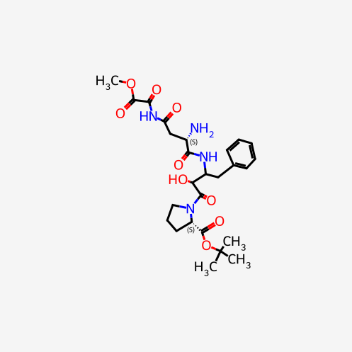 COC(=O)C(=O)NC(=O)C[C@H](N)C(=O)NC(Cc1ccccc1)C(O)C(=O)N1CCC[C@H]1C(=O)OC(C)(C)C